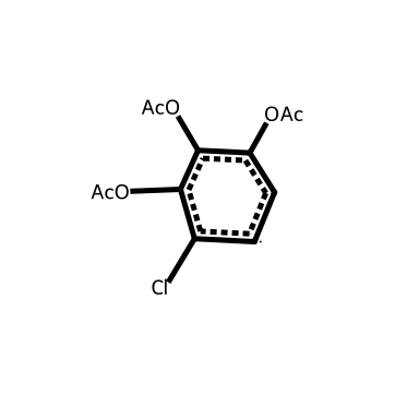 CC(=O)Oc1c[c]c(Cl)c(OC(C)=O)c1OC(C)=O